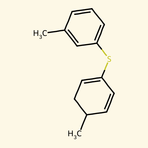 Cc1cccc(SC2=CCC(C)C=C2)c1